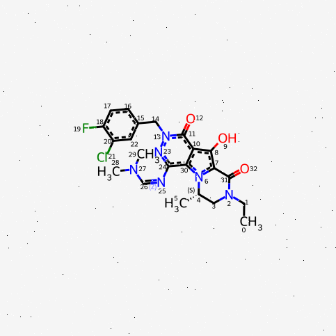 CCN1C[C@H](C)n2c(c(O)c3c(=O)n(Cc4ccc(F)c(Cl)c4)nc(/N=C\N(C)C)c32)C1=O